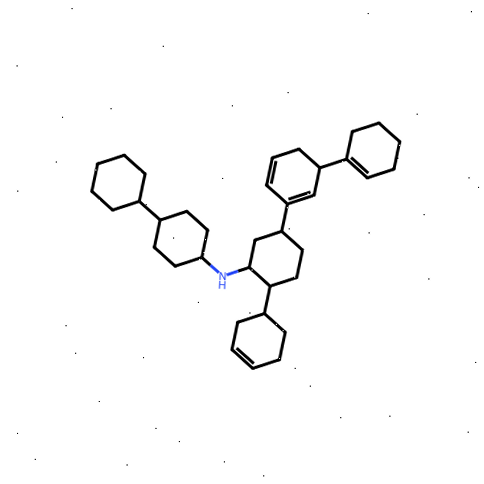 C1=CCC(C2CCC(C3=CC(C4=CCCCC4)CC=C3)CC2NC2CCC(C3CCCCC3)CC2)CC1